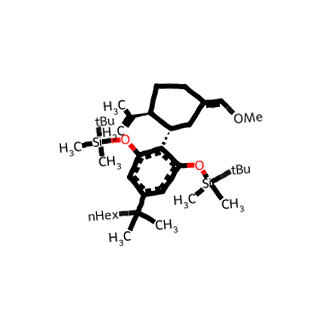 C=C(C)[C@H]1CCC(=COC)C[C@@H]1c1c(O[Si](C)(C)C(C)(C)C)cc(C(C)(C)CCCCCC)cc1O[Si](C)(C)C(C)(C)C